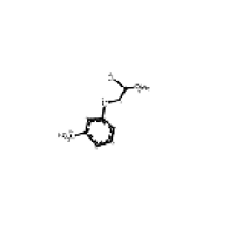 COC(Cl)COc1cccc(C(=O)O)c1